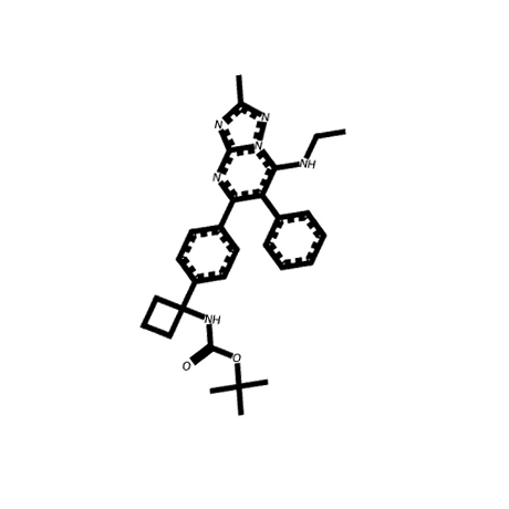 CCNc1c(-c2ccccc2)c(-c2ccc(C3(NC(=O)OC(C)(C)C)CCC3)cc2)nc2nc(C)nn12